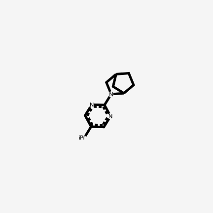 CC(C)c1cnc(N2CC3CCC2C3)nc1